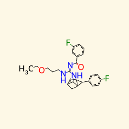 CCOCCCN/C(=N/C(=O)c1cccc(F)c1)NC1C2=CC3C(c4ccc(F)cc4)C13C2